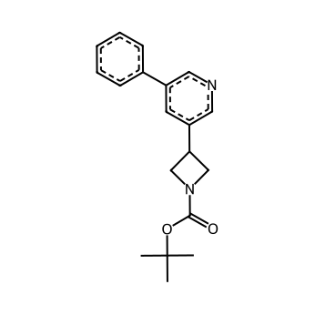 CC(C)(C)OC(=O)N1CC(c2cncc(-c3ccccc3)c2)C1